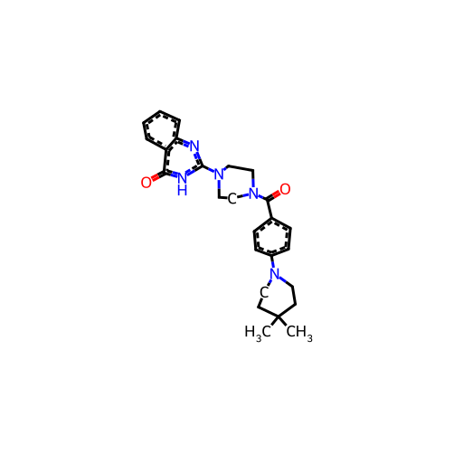 CC1(C)CCN(c2ccc(C(=O)N3CCN(c4nc5ccccc5c(=O)[nH]4)CC3)cc2)CC1